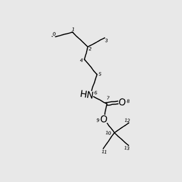 [CH2]CC(C)CCNC(=O)OC(C)(C)C